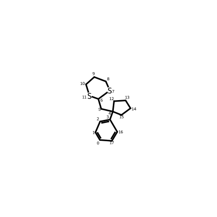 c1ccc(C2(CC3SCCCS3)CCCC2)cc1